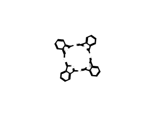 [Cr].[Cu].c1ccc2c(c1)-c1nc-2nc2[nH]c(nc3nc(nc4[nH]c(n1)c1ccccc41)-c1ccccc1-3)c1ccccc21